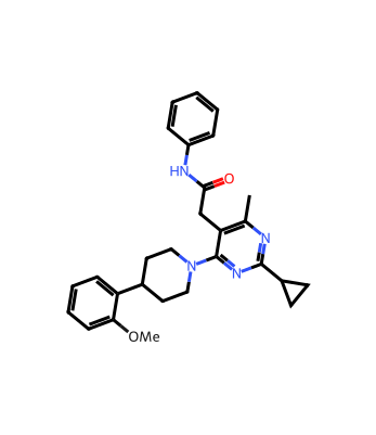 COc1ccccc1C1CCN(c2nc(C3CC3)nc(C)c2CC(=O)Nc2ccccc2)CC1